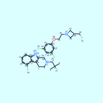 CC(C)(F)CN1CCc2c([nH]c3cccc(F)c23)[C@@H]1c1c(F)cc(OCCN2CC(CF)C2)cc1F